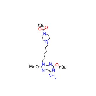 CCCCOc1nc(N)c2nc(OC)n(CCCCCCN3CCN(C(=O)OC(C)(C)C)CC3)c2n1